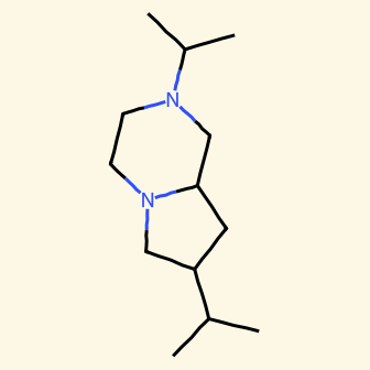 CC(C)C1CC2CN(C(C)C)CCN2C1